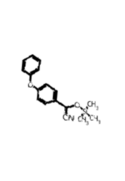 C[Si](C)(C)OC(C#N)c1ccc(Oc2ccccc2)cc1